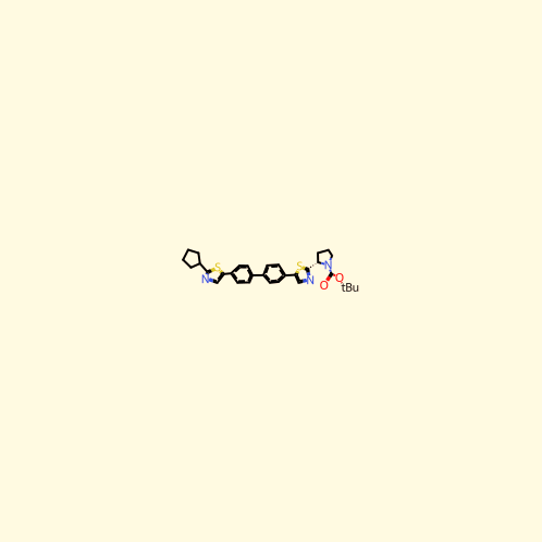 CC(C)(C)OC(=O)N1CCC[C@H]1c1ncc(-c2ccc(-c3ccc(-c4cnc(C5CCCC5)s4)cc3)cc2)s1